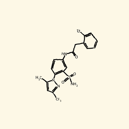 CCc1ccccc1CC(=O)Nc1ccc(-n2nc(C(F)(F)F)cc2C)c(S(N)(=O)=O)c1